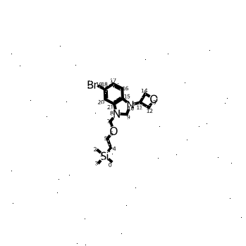 C[Si](C)(C)CCOCN1CN(C2COC2)c2ccc(Br)cc21